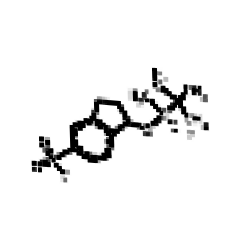 CC(C)(C)[Si](C)(C)OC1CCc2cc(S(=O)(=O)Cl)ccc21